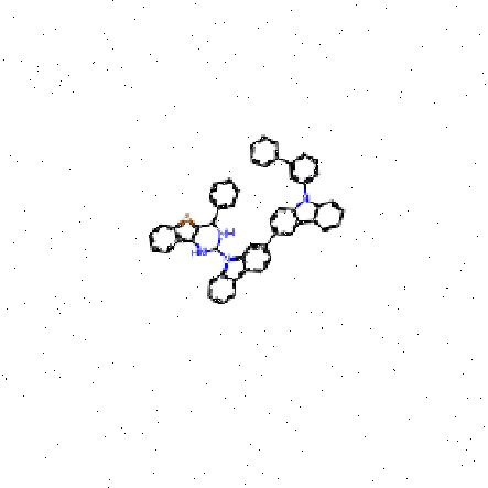 C1=CC2c3cc(-c4ccc5c6ccccc6n(C6Nc7c(sc8ccccc78)C(c7ccccc7)N6)c5c4)ccc3N(c3cccc(-c4ccccc4)c3)C2C=C1